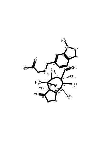 C=C[C@]1(C)C[C@@H](N(CC(=O)O)Cc2ccc3c(c2)B(O)OC3)[C@]2(C)[C@H](C)CC[C@]3(CCC(=O)[C@H]32)[C@@H](C)[C@@H]1O